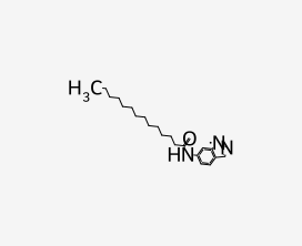 CCCCCCCCCCCCCC(=O)Nc1ccc2c(c1)[N]N=C2